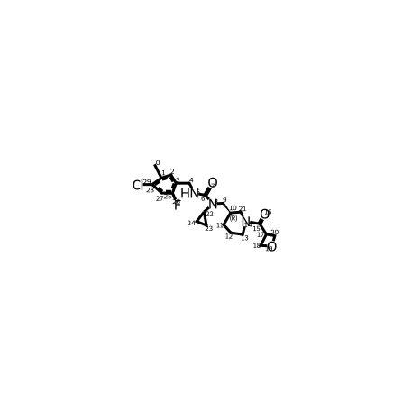 Cc1cc(CNC(=O)N(C[C@@H]2CCCN(C(=O)C3COC3)C2)C2CC2)c(F)cc1Cl